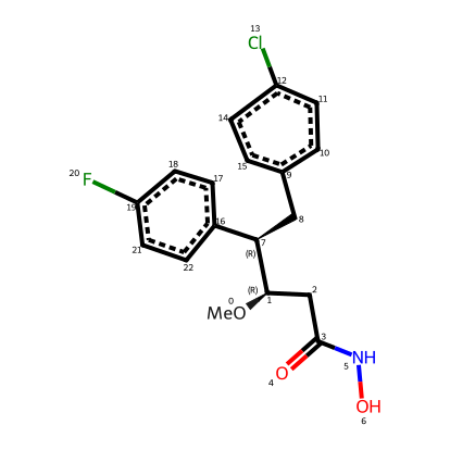 CO[C@H](CC(=O)NO)[C@H](Cc1ccc(Cl)cc1)c1ccc(F)cc1